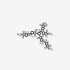 CN1C(=O)c2ccc(C(c3cc(N4C(=O)c5ccc(C(c6ccc7c(c6)C(=O)N(C)C7=O)(C(F)(F)F)C(F)(F)F)cc5C4=O)cc(N4C(=O)c5ccc(C(c6ccc7c(c6)C(=O)N(C)C7=O)(C(F)(F)F)C(F)(F)F)cc5C4=O)c3)(c3ccc4c(c3)C(=O)N(C)C4=O)C(F)(F)F)cc2C1=O